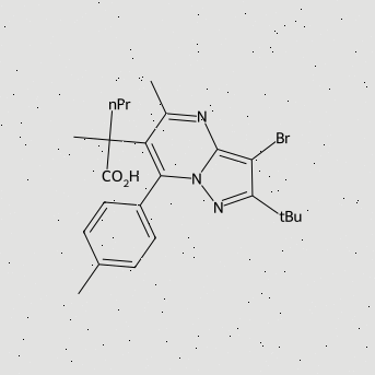 CCCC(C)(C(=O)O)c1c(C)nc2c(Br)c(C(C)(C)C)nn2c1-c1ccc(C)cc1